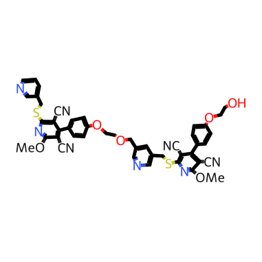 COc1nc(SCc2cccnc2)c(C#N)c(-c2ccc(OCCOCc3cncc(CSc4nc(OC)c(C#N)c(-c5ccc(OCCO)cc5)c4C#N)c3)cc2)c1C#N